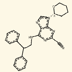 N#Cc1nc(NCC(c2ccccc2)c2ccccc2)c2ncn([C@H]3CCCCO3)c2n1